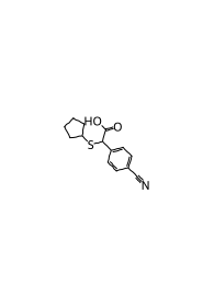 N#Cc1ccc(C(SC2CCCC2)C(=O)O)cc1